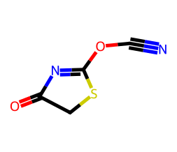 N#COC1=NC(=O)CS1